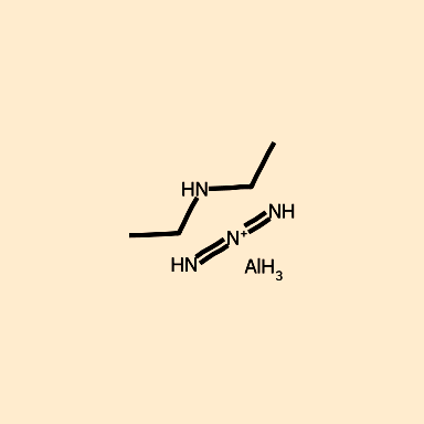 CCNCC.N=[N+]=N.[AlH3]